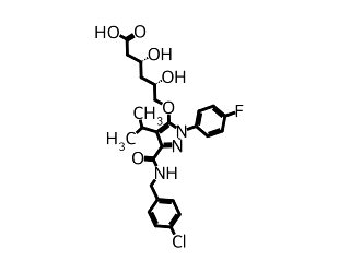 CC(C)c1c(C(=O)NCc2ccc(Cl)cc2)nn(-c2ccc(F)cc2)c1OC[C@@H](O)C[C@@H](O)CC(=O)O